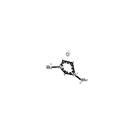 CCC(C)n1cc[n+](C(C)CC)c1.[Cl-]